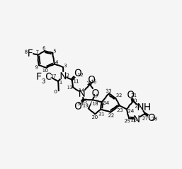 CC(N(Cc1ccc(F)cc1)C(=O)CN1C(=O)O[C@@]2(CCc3cc(C4C=NC(=O)NC4=O)ccc32)C1=O)C(F)(F)F